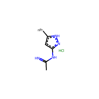 CCCc1cc(NC(C)=N)n[nH]1.Cl